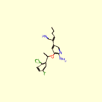 CCC/C=C(\C=N)c1cnc(N)c(OC(C)c2cc(F)ccc2Cl)c1